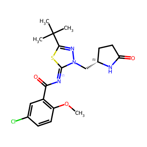 COc1ccc(Cl)cc1C(=O)/N=c1\sc(C(C)(C)C)nn1C[C@@H]1CCC(=O)N1